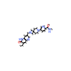 CCc1cc2ncc(CN3CC4(CCN(c5ccc(C(=O)NC)nc5)CC4)C3)cc2[nH]c1=O